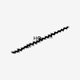 CCCCCC=CCC=CCCCCCCCCC(O)CCCCCCCCC=CCC=CCCCCC